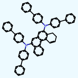 C1=Cc2c(c(N(c3ccc(-c4ccccc4)cc3)c3ccc(-c4ccccc4)cc3)cc3cc(N(c4ccc(-c5ccccc5)cc4)c4ccc(-c5ccccc5)cc4)c4ccccc4c23)CC1